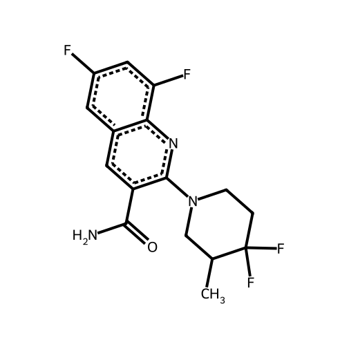 CC1CN(c2nc3c(F)cc(F)cc3cc2C(N)=O)CCC1(F)F